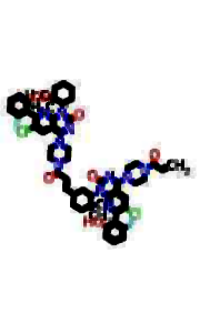 C=CC(=O)N1CCN(c2nc(=O)n([C@H]3CC(C=CC(=O)N4CCN(c5nc(=O)n([C@@H]6CCCCC6(C)C)c6nc(-c7c(O)cccc7F)c(Cl)cc56)CC4)CCC3(C)C)c3nc(-c4c(O)cccc4F)c(Cl)cc23)CC1